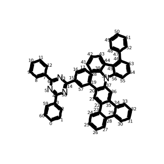 c1ccc(-c2nc(-c3ccccc3)nc(-c3cccc(-c4cc5c6ccccc6c6ccccc6c5cc4-n4c5ccccc5c5c(-c6ccccc6)cccc54)c3)n2)cc1